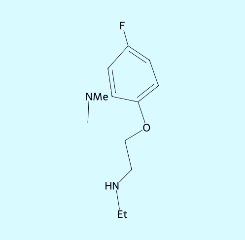 CCNCCOc1ccc(F)cc1.CNC